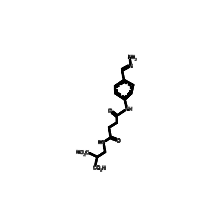 NN=Cc1ccc(NC(=O)CCC(=O)NCC(C(=O)O)C(=O)O)cc1